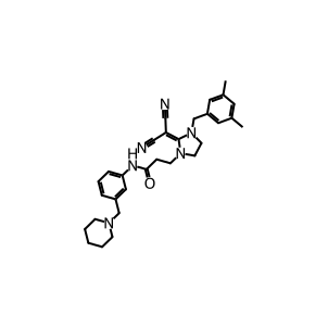 Cc1cc(C)cc(CN2CCN(CCC(=O)Nc3cccc(CN4CCCCC4)c3)C2=C(C#N)C#N)c1